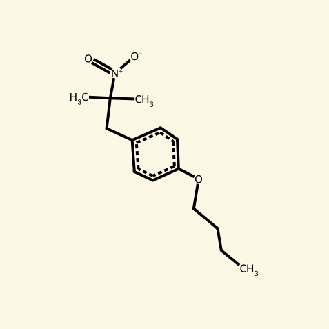 CCCCOc1ccc(CC(C)(C)[N+](=O)[O-])cc1